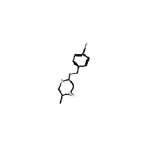 CC1COC(CCc2ccc(F)cc2)CN1